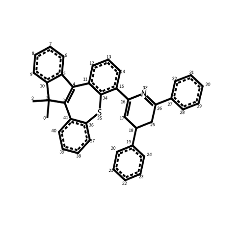 CC1(C)C2=C(c3ccccc31)c1cccc(C3=CC(c4ccccc4)CC(c4ccccc4)=N3)c1Sc1ccccc12